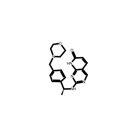 C[C@H](Nc1ncc2ccc(=O)[nH]c2n1)c1ccc(CN2CCOCC2)cc1